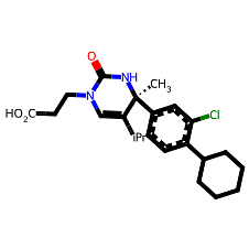 CC(C)C1=CN(CCC(=O)O)C(=O)N[C@@]1(C)c1ccc(C2CCCCC2)c(Cl)c1